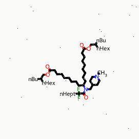 CCCCCCCC(F)(F)C(=O)N(CC1CCN(C)CC1)C(CCCCCCCCC(=O)OCC(CCCC)CCCCCC)CCCCCCCCC(=O)OCC(CCCC)CCCCCC